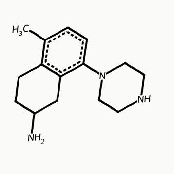 Cc1ccc(N2CCNCC2)c2c1CCC(N)C2